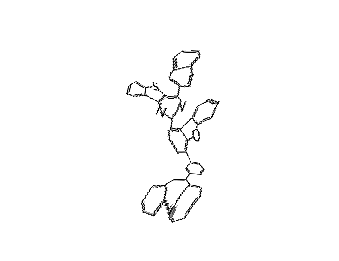 c1cc(-c2cc3ccccc3c3ccccc23)cc(-c2ccc(-c3nc(-c4ccc5ccccc5c4)c4sc5ccccc5c4n3)c3c2oc2ccccc23)c1